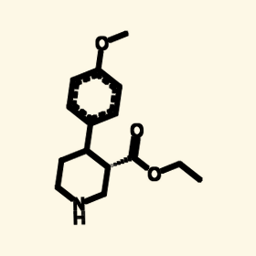 CCOC(=O)[C@@H]1CNCCC1c1ccc(OC)cc1